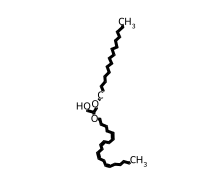 CCCCC/C=C\C/C=C\C/C=C\C/C=C\CCCCOC(CO)COCCCCCCCCCCCCCCCCCC